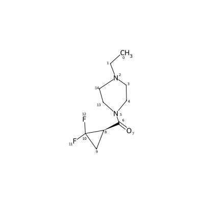 CCN1CCN(C(=O)[C@H]2CC2(F)F)CC1